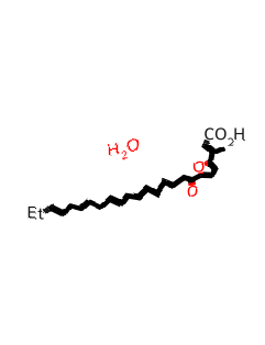 CCC=CCC=CCC=CCCCCCCCC(=O)c1ccc(C(C)=CC(=O)O)o1.O